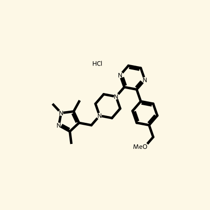 COCc1ccc(-c2nccnc2N2CCN(Cc3c(C)nn(C)c3C)CC2)cc1.Cl